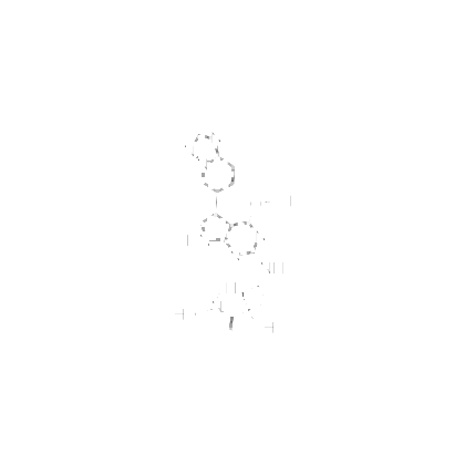 COc1nc(N[C@H]2C[C@@](C)(C(=O)N(C)C)C2)nc2[nH]cc(-c3ccc4ncnn4c3)c12